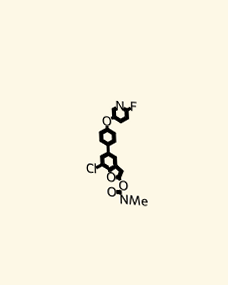 CNC(=O)Oc1cc2cc(-c3ccc(Oc4ccc(F)nc4)cc3)cc(Cl)c2o1